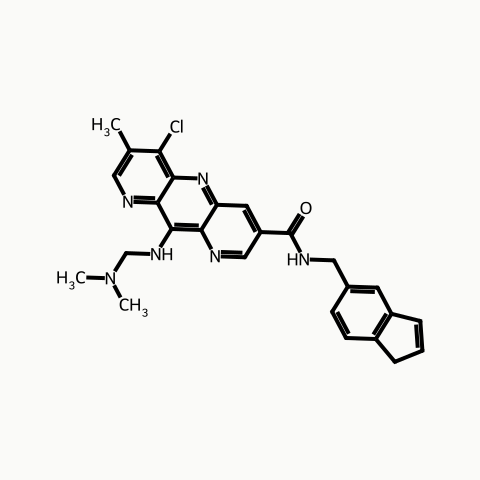 Cc1cnc2c(NCN(C)C)c3ncc(C(=O)NCc4ccc5c(c4)C=CC5)cc3nc2c1Cl